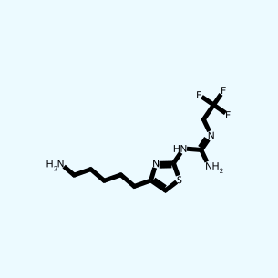 NCCCCCc1csc(N/C(N)=N\CC(F)(F)F)n1